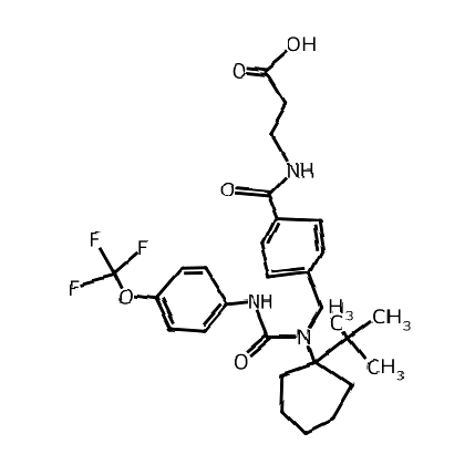 CC(C)(C)C1(N(Cc2ccc(C(=O)NCCC(=O)O)cc2)C(=O)Nc2ccc(OC(F)(F)F)cc2)CCCCC1